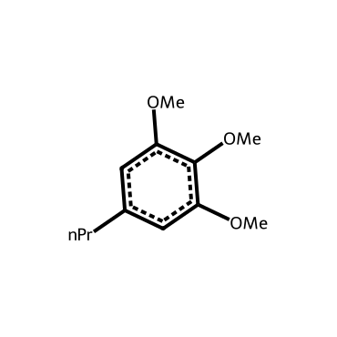 C[CH]Cc1cc(OC)c(OC)c(OC)c1